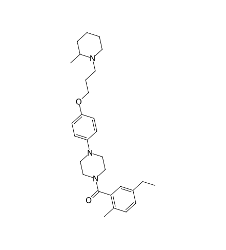 CCc1ccc(C)c(C(=O)N2CCN(c3ccc(OCCCN4CCCCC4C)cc3)CC2)c1